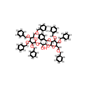 OC(COC1OC(COCc2ccccc2)C(OCc2ccccc2)C(OCc2ccccc2)C1OCc1ccccc1)COC1OC(COCc2ccccc2)C(OCc2ccccc2)C(OCc2ccccc2)C1OCc1ccccc1